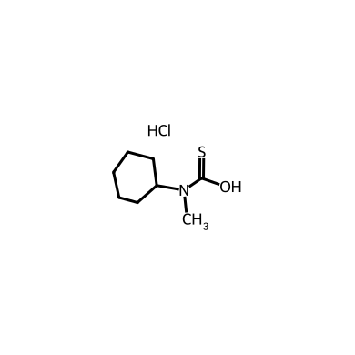 CN(C(O)=S)C1CCCCC1.Cl